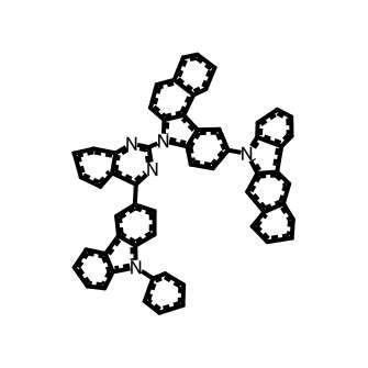 c1ccc(-n2c3ccccc3c3cc(-c4nc(-n5c6ccc(-n7c8ccccc8c8cc9ccccc9cc87)cc6c6c7ccccc7ccc65)nc5ccccc45)ccc32)cc1